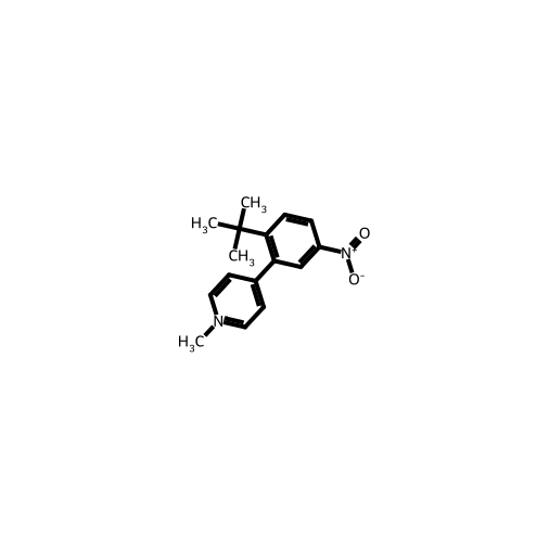 C[n+]1ccc(-c2cc([N+](=O)[O-])ccc2C(C)(C)C)cc1